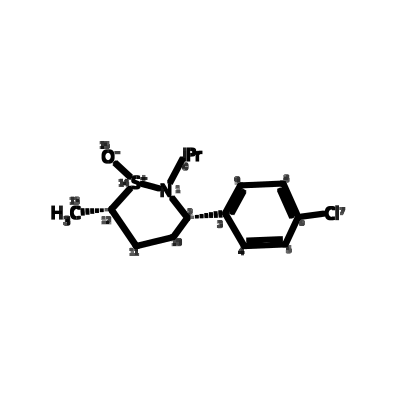 CC(C)N1[C@H](c2ccc(Cl)cc2)CC[C@H](C)[S+]1[O-]